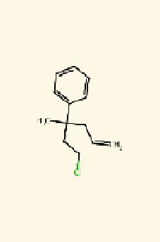 C=CCC(C)(CCCl)c1ccccc1